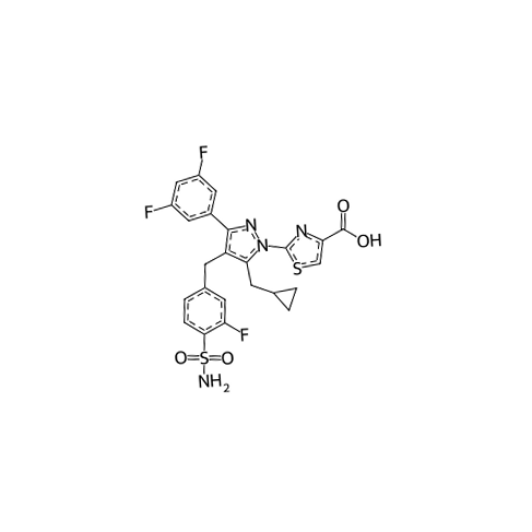 NS(=O)(=O)c1ccc(Cc2c(-c3cc(F)cc(F)c3)nn(-c3nc(C(=O)O)cs3)c2CC2CC2)cc1F